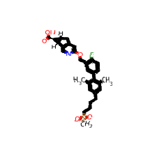 Cc1cc(CCCCS(C)(=O)=O)cc(C)c1-c1ccc(F)c(COc2cc3c(cn2)[C@H]2[C@@H](C3)[C@@H]2C(=O)O)c1